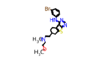 COCCN(C)CCC1CCc2c(sc3ncnc(Nc4cccc(Br)c4)c23)C1